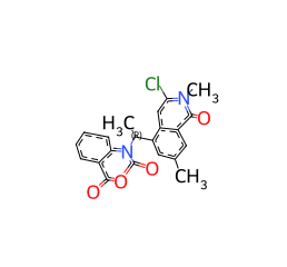 Cc1cc([C@@H](C)n2c(=O)oc(=O)c3ccccc32)c2cc(Cl)n(C)c(=O)c2c1